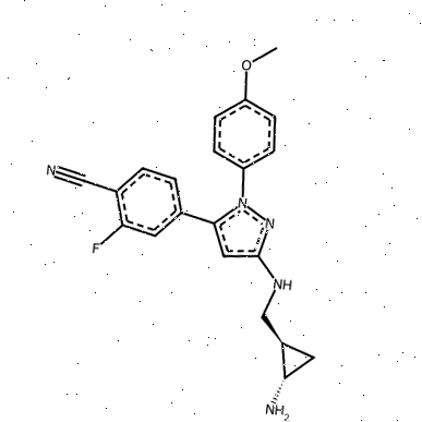 COc1ccc(-n2nc(NC[C@H]3C[C@@H]3N)cc2-c2ccc(C#N)c(F)c2)cc1